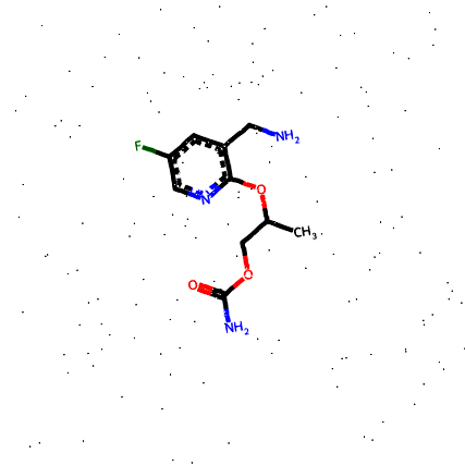 CC(COC(N)=O)Oc1ncc(F)cc1CN